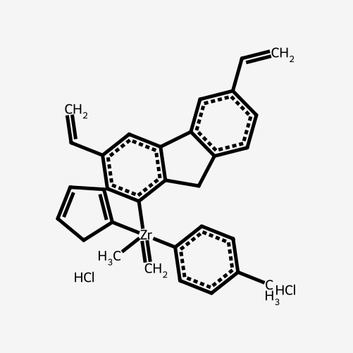 C=Cc1ccc2c(c1)-c1cc(C=C)c[c]([Zr](=[CH2])([CH3])([C]3=CC=CC3)[c]3ccc(C)cc3)c1C2.Cl.Cl